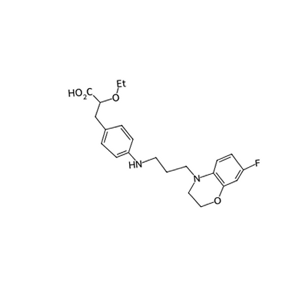 CCOC(Cc1ccc(NCCCN2CCOc3cc(F)ccc32)cc1)C(=O)O